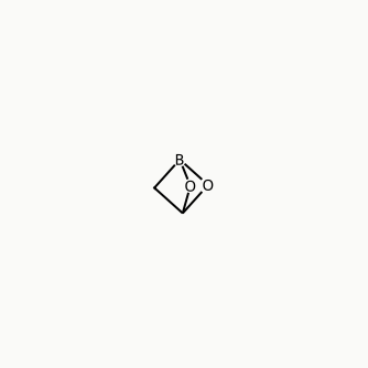 C1B2OC1O2